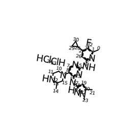 Cc1nc(Nc2ncc(N3CCNC(C)C3)c(Nc3cc(C)n(C)n3)n2)cc(C2CC2)c1F.Cl.Cl